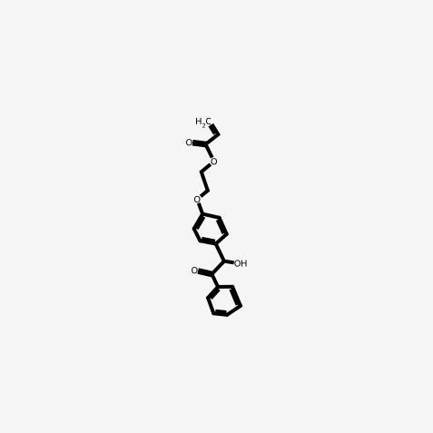 C=CC(=O)OCCOc1ccc(C(O)C(=O)c2ccccc2)cc1